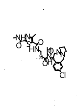 [2H][C@@]1(NC(=O)[C@H](C)CNC(=O)c2sc(C(=O)NC)nc2C)C(=O)N2CCCN2Cc2cc(Cl)ccc21